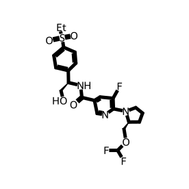 CCS(=O)(=O)c1ccc([C@H](CO)NC(=O)c2cnc(N3CCC[C@H]3COC(F)F)c(F)c2)cc1